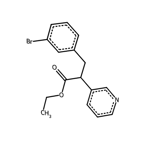 CCOC(=O)C(Cc1cccc(Br)c1)c1cccnc1